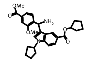 COC(=O)c1ccc(C(N)c2cn(C3CCCC3)c3ccc(C(=O)OC4CCCC4)cc23)c(OC)c1